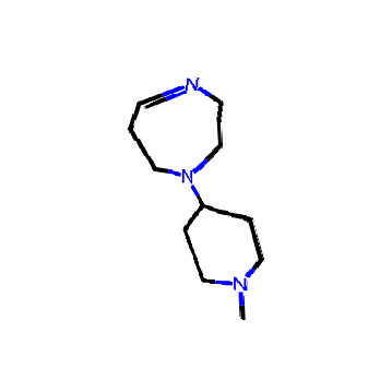 CN1CCC(N2CCC=NCC2)CC1